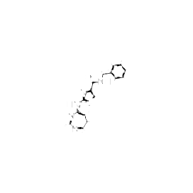 O=C(NCc1ccccc1)c1csc(NC2=CCC=NC=N2)n1